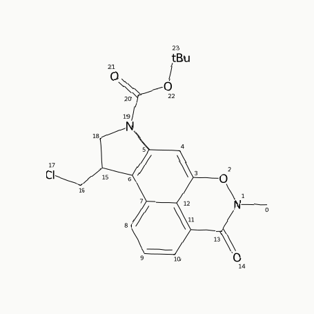 CN1Oc2cc3c(c4cccc(c24)C1=O)C(CCl)CN3C(=O)OC(C)(C)C